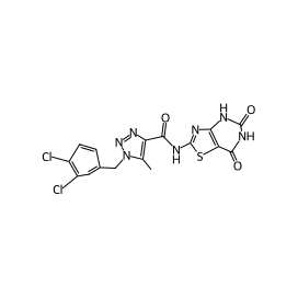 Cc1c(C(=O)Nc2nc3[nH]c(=O)[nH]c(=O)c3s2)nnn1Cc1ccc(Cl)c(Cl)c1